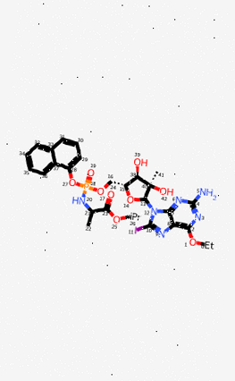 CCOc1nc(N)nc2c1nc(I)n2C1O[C@H](COP(=O)(NC(C)C(=O)OC(C)C)Oc2cccc3ccccc23)[C@@H](O)[C@@]1(C)O